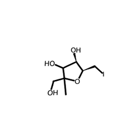 CC1(CO)O[C@H](CI)[C@H](O)C1O